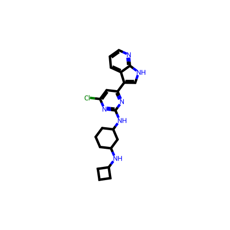 Clc1cc(-c2c[nH]c3ncccc23)nc(NC2CCCC(NC3CCC3)C2)n1